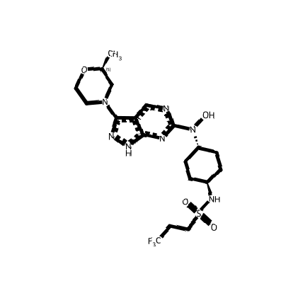 C[C@H]1CN(c2n[nH]c3nc(N(O)[C@H]4CC[C@H](NS(=O)(=O)CCC(F)(F)F)CC4)ncc23)CCO1